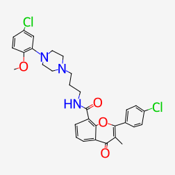 COc1ccc(Cl)cc1N1CCN(CCCNC(=O)c2cccc3c(=O)c(C)c(-c4ccc(Cl)cc4)oc23)CC1